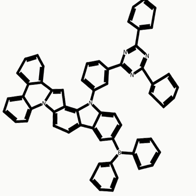 c1ccc(B(c2ccccc2)c2ccc3c(c2)c2ccc4c(cc5c6ccccc6c6ccccc6n54)c2n3-c2cccc(-c3nc(-c4ccccc4)nc(-c4ccccc4)n3)c2)cc1